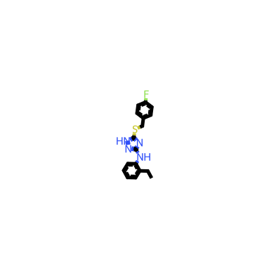 CCc1ccccc1Nc1n[nH]c(SCc2ccc(F)cc2)n1